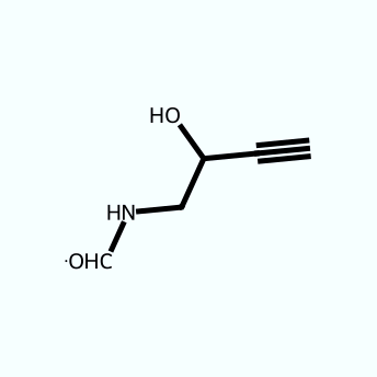 C#CC(O)CN[C]=O